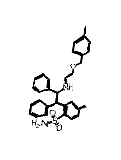 Cc1ccc(COCCNC(c2ccccc2)C(c2ccccc2)c2cc(C)ccc2S(N)(=O)=O)cc1